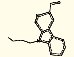 CCCCn1c2ccccc2c2cc(C=O)ncc21